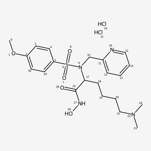 COc1ccc(S(=O)(=O)N(Cc2ccccn2)C(CCCCN(C)C)C(=O)NO)cc1.Cl.Cl